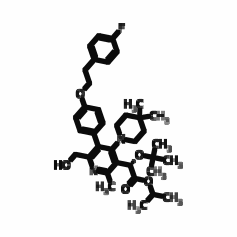 Cc1nc(CO)c(-c2ccc(OCCc3ccc(F)cc3)cc2)c(N2CCC(C)(C)CC2)c1[C@H](OC(C)(C)C)C(=O)OC(C)C